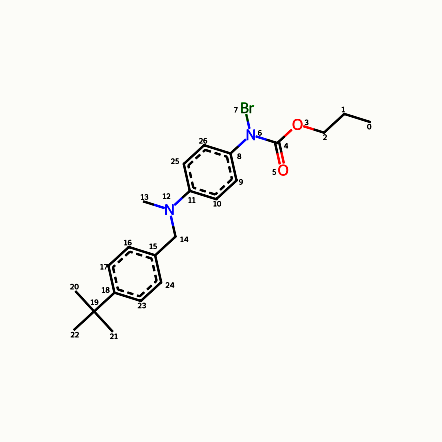 CCCOC(=O)N(Br)c1ccc(N(C)Cc2ccc(C(C)(C)C)cc2)cc1